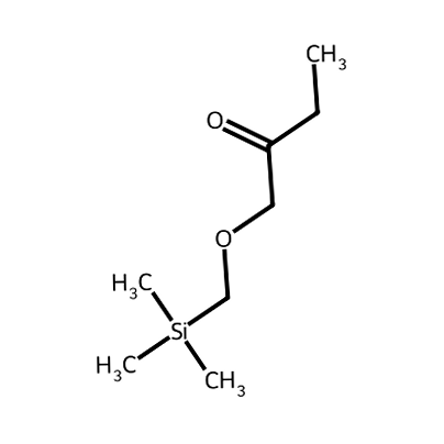 CCC(=O)COC[Si](C)(C)C